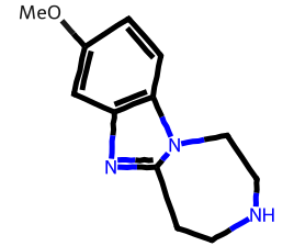 COc1ccc2c(c1)nc1n2CCNCC1